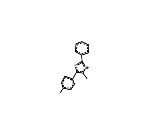 Cc1[nH]c(-c2ccccc2)nc1-c1ccc(F)cc1